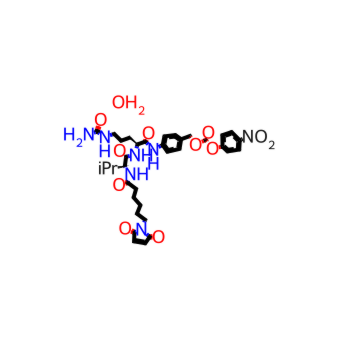 CC(C)[C@H](NC(=O)CCCCCN1C(=O)C=CC1=O)C(=O)N[C@@H](CCCNC(N)=O)C(=O)Nc1ccc(COC(=O)Oc2ccc([N+](=O)[O-])cc2)cc1.O